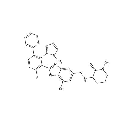 CN1CCCC(NCc2cc(C(F)(F)F)c3[nH]c(-c4c(F)ccc(-c5ccccc5)c4-c4nncn4C)nc3c2)C1=O